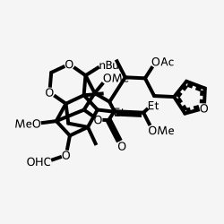 CCCCC12OCOC34CC(C)(C(OC=O)C3(OC)C3OC(=O)/C(=C(/CC)OC)C(C(C)C(Cc5ccoc5)OC(C)=O)C31OC)C(CC)C24C